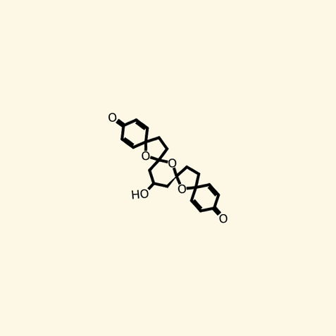 O=C1C=CC2(C=C1)CCC1(CC(O)C[C@]3(CCC4(C=CC(=O)C=C4)O3)O1)O2